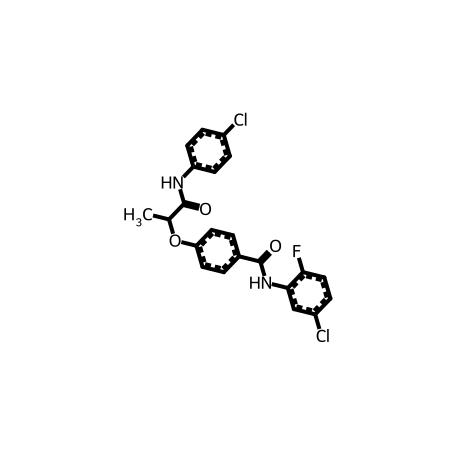 CC(Oc1ccc(C(=O)Nc2cc(Cl)ccc2F)cc1)C(=O)Nc1ccc(Cl)cc1